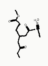 CC#N.CCC(=O)CC(CCC(=O)OC)CC(C)=O.O